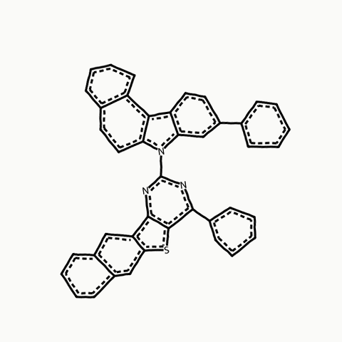 c1ccc(-c2ccc3c4c5ccccc5ccc4n(-c4nc(-c5ccccc5)c5sc6cc7ccccc7cc6c5n4)c3c2)cc1